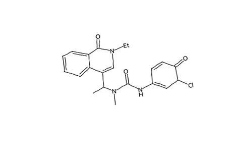 CCn1cc(C(C)N(C)C(=O)NC2=CC(Cl)C(=O)C=C2)c2ccccc2c1=O